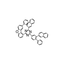 c1ccc(-c2ccc3oc4cccc(-c5nc(-c6ccc(-c7ccccc7)c(-c7ccc8ccccc8c7)c6)nc(-c6ccc7ccccc7c6)n5)c4c3c2)cc1